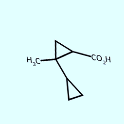 CC1(C2CC2)CC1C(=O)O